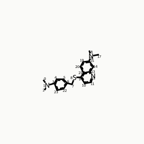 CN(C)c1ccc(CSc2ccnc3cc(N(C)C)ccc23)cc1